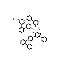 Cc1cncc(-c2ccccc2-c2cc(CCc3cnc(-c4ccccc4)cc3-c3ccc4c5ccccc5c5ccccc5c4c3)cc(-c3ccccc3-c3cncc(C)c3)c2)c1